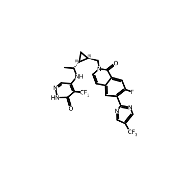 CC(Nc1cn[nH]c(=O)c1C(F)(F)F)[C@@H]1C[C@H]1Cn1ccc2cc(-c3ncc(C(F)(F)F)cn3)c(F)cc2c1=O